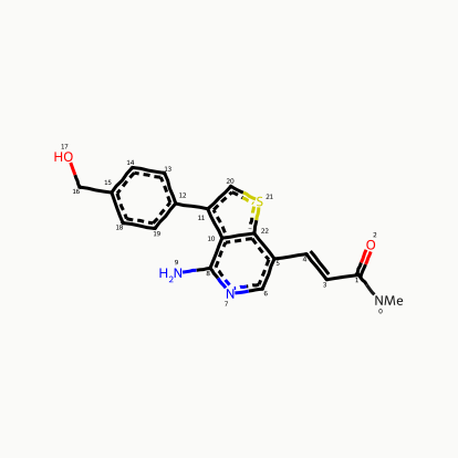 CNC(=O)C=Cc1cnc(N)c2c(-c3ccc(CO)cc3)csc12